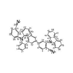 N#Cc1ccc(-c2cccc(-c3ccccc3-n3c4ccccc4c4c(C#N)cccc43)c2)cc1-n1c2ccccc2c2ccccc21